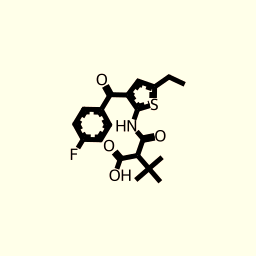 CCc1cc(C(=O)c2ccc(F)cc2)c(NC(=O)C(C(=O)O)C(C)(C)C)s1